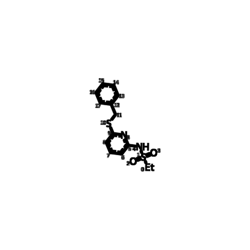 CCS(=O)(=O)Nc1cccc(SCc2ccccc2)n1